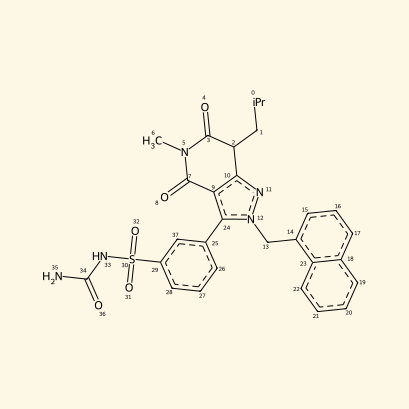 CC(C)CC1C(=O)N(C)C(=O)c2c1nn(Cc1cccc3ccccc13)c2-c1cccc(S(=O)(=O)NC(N)=O)c1